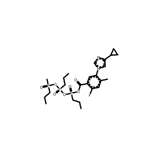 CCCP(C)(=O)OP(=O)(CCC)OP(=O)(CCC)OC(=O)c1cc(-n2cnc(C3CC3)c2)c(C)cc1F